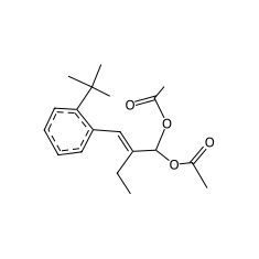 CC/C(=C\c1ccccc1C(C)(C)C)C(OC(C)=O)OC(C)=O